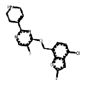 Fc1cc2c(Cl)ccc(COc3nc(C4=CCNCC4)ncc3F)c2o1